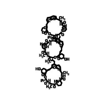 CC(C)[C@@H]1OC(=O)C2(/C=C/c3ccc4ccc(nc4c3)[C@@H](C)NC(=O)[C@@H]3CCCN(N3)C(=O)[C@H](Cc3cc4nc5cc(ccc35)/C=C/C3(CCC(O)CC3)C(=O)O[C@@H](C(C)Cc3cc5cc6nc(ccc36)[C@@H](C)NC(=O)[C@@H]3CCCN(N3)C(=O)[C@H](C)NC(=O)[C@@H](C(C)C)OC(=O)[C@]3(/C=C/5)CC[C@H](O)CC3)C(=O)N[C@@H](C)C(=O)N3CCCC(C)(N3)C(=O)N[C@@H]4C)NC1=O)COCCO2